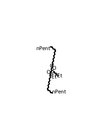 CCCCC/C=C\C/C=C\CCCCCCCCOC(=O)CC(SCCN(CC)CC)C(=O)OCCCCCCCC/C=C\C/C=C\CCCCC